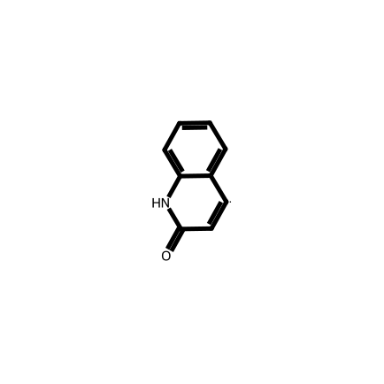 O=c1c[c]c2ccccc2[nH]1